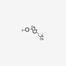 CN(C)C(C#N)CCc1ccc2c(-c3ccc(F)cc3)occ2c1